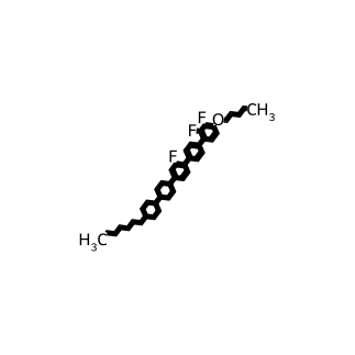 CCCCCCCC1CCC(C2CCC(c3ccc(-c4ccc(-c5ccc(OCCCCC)c(F)c5F)cc4)c(F)c3)CC2)CC1